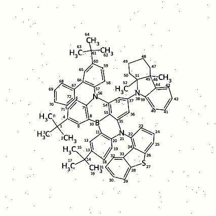 CC(C)(C)c1ccc2c(c1)B1c3cc(C(C)(C)C)ccc3N(c3cccc4sc5ccccc5c34)c3cc(N4c5ccccc5C5(C)CCCCC45C)cc(c31)N2c1ccc(C(C)(C)C)cc1-c1ccccc1